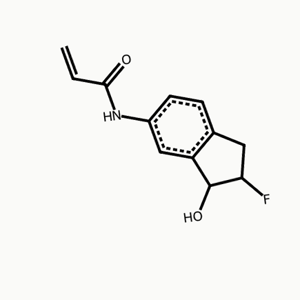 C=CC(=O)Nc1ccc2c(c1)C(O)C(F)C2